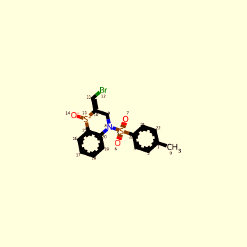 Cc1ccc(S(=O)(=O)N2CC(=CBr)[S+]([O-])c3ccccc32)cc1